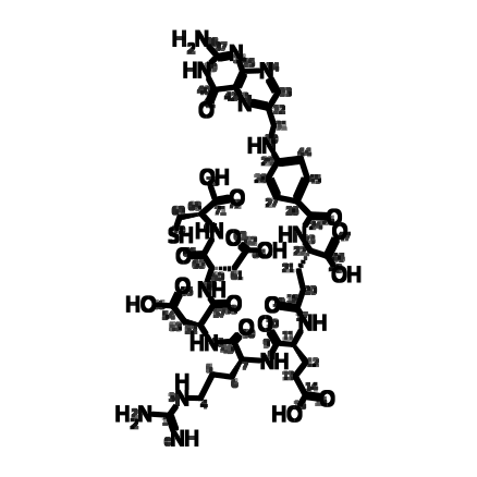 N=C(N)NCCC[C@H](NC(=O)[C@H](CCC(=O)O)NC(=O)CC[C@H](NC(=O)c1ccc(NCc2cnc3nc(N)[nH]c(=O)c3n2)cc1)C(=O)O)C(=O)N[C@@H](CC(=O)O)C(=O)N[C@@H](CC(=O)O)C(=O)N[C@@H](CS)C(=O)O